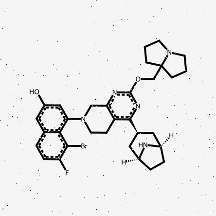 Oc1cc(N2CCc3c(nc(OCC45CCCN4CCC5)nc3[C@H]3C[C@H]4CC[C@@H](C3)N4)C2)c2c(Br)c(F)ccc2c1